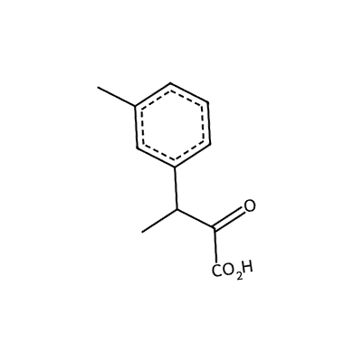 Cc1cccc(C(C)C(=O)C(=O)O)c1